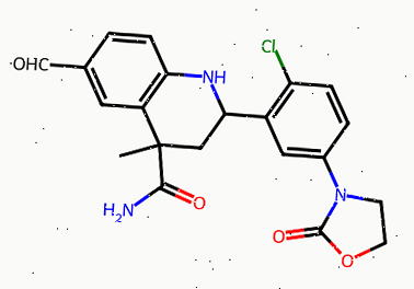 CC1(C(N)=O)CC(c2cc(N3CCOC3=O)ccc2Cl)Nc2ccc([C]=O)cc21